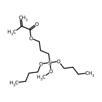 C=C(C)C(=O)OCCC[Si](OC)(OCCCC)OCCCC